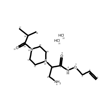 C=CCONC(=O)C(CN)N1CCN(C(=O)C(C)C)CC1.Cl.Cl